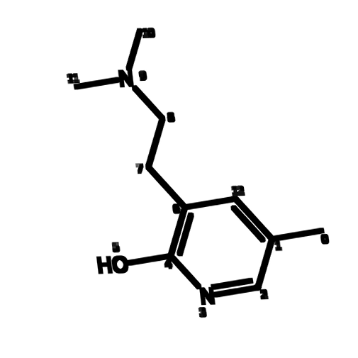 Cc1cnc(O)c(CCN(C)C)c1